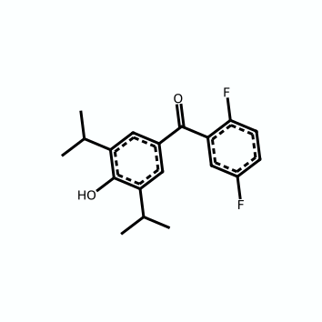 CC(C)c1cc(C(=O)c2cc(F)ccc2F)cc(C(C)C)c1O